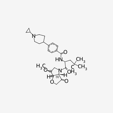 CO[C@H]1CN(C(=O)C(CC(C)(C)C)NC(=O)c2ccc(C3CCN(C4CC4)CC3)cc2)[C@@H]2C(=O)CO[C@H]12